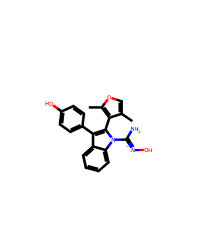 Cc1coc(C)c1-c1c(-c2ccc(O)cc2)c2ccccc2n1/C(N)=N/O